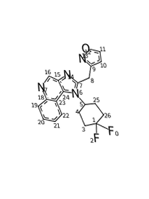 FC1(F)CCC(n2c(Cc3ccon3)nc3cnc4ccccc4c32)CC1